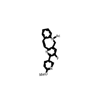 COc1ccc(-c2nc3c(cc2F)CN(C(C)=O)c2ccccc2C=C3)cn1